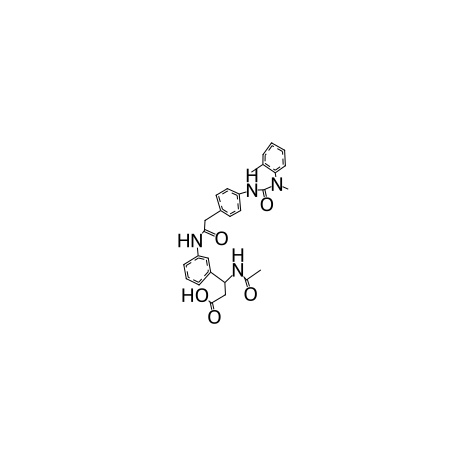 CC(=O)NC(CC(=O)O)c1cccc(NC(=O)Cc2ccc(NC(=O)N(C)c3ccccc3C)cc2)c1